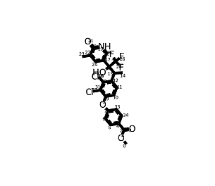 COC(=O)c1ccc(Oc2ccc(C(C)C(O)(c3c[nH]c(=O)c(C)c3)C(F)(F)F)c(Cl)c2Cl)cc1